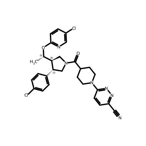 C[C@H](Oc1ccc(Cl)cn1)[C@H]1CN(C(=O)C2CCN(c3ccc(C#N)nn3)CC2)C[C@@H]1c1ccc(Cl)cc1